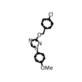 COc1ccc(-n2cnc(OCc3ccc(Cl)cc3)n2)cc1